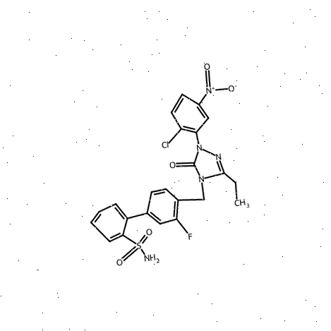 CCc1nn(-c2cc([N+](=O)[O-])ccc2Cl)c(=O)n1Cc1ccc(-c2ccccc2S(N)(=O)=O)cc1F